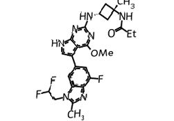 CCC(=O)N[C@]1(C)C[C@H](Nc2nc(OC)c3c(-c4cc(F)c5nc(C)n(CC(F)F)c5c4)c[nH]c3n2)C1